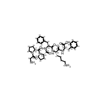 NCCCC[C@H](NC(=O)[C@H](Cc1ccccc1)NC(=O)[C@@H]1CCCN1C(=O)[C@@H]1CCCN1C(=O)CN)C(=O)N[C@@H](Cc1ccccc1)C(=O)O